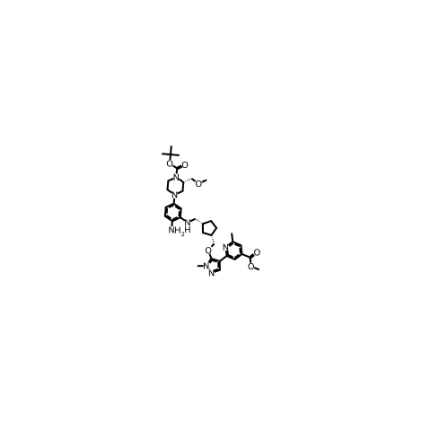 COC[C@@H]1CN(c2ccc(N)c(NC[C@@H]3CC[C@H](COc4c(-c5cc(C(=O)OC)cc(C)n5)cnn4C)C3)c2)CCN1C(=O)OC(C)(C)C